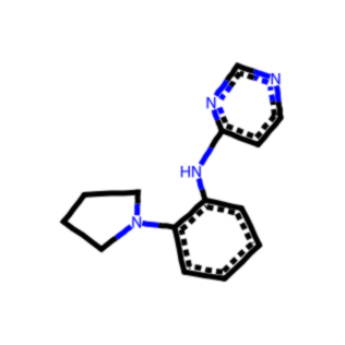 c1ccc(N2CCCC2)c(Nc2ccncn2)c1